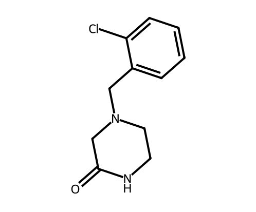 O=C1CN(Cc2ccccc2Cl)CCN1